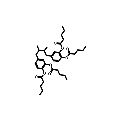 CCCCC(=O)Oc1ccc(CC(C)C(C)Cc2ccc(OC(=O)CCCC)c(OC(=O)CCCC)c2)cc1OC(=O)CCCC